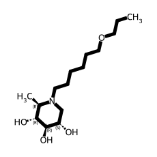 CCCOCCCCCCN1C[C@H](O)[C@@H](O)[C@H](O)[C@H]1C